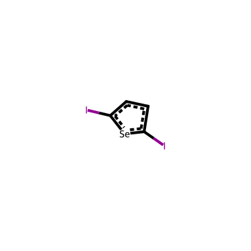 Ic1ccc(I)[se]1